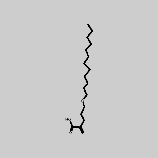 C=C(CCCOCCCCCCCCCCCC)C(=O)O